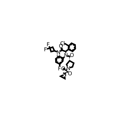 O=C(NC1CC(F)(F)C1)[C@@H](c1ccccc1Cl)N(C(=O)[C@@H]1CCN(S(=O)(=O)N2CC2)C1)c1cccc(F)c1